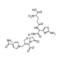 NC(=O)c1cc[n+](CC2=C(C(=O)[O-])N3C(=O)[C@@H](NC(=O)[C@@H](NC(=O)CC[C@@H](N)C(=O)O)c4csc(N)n4)[C@@H]3SC2)cc1